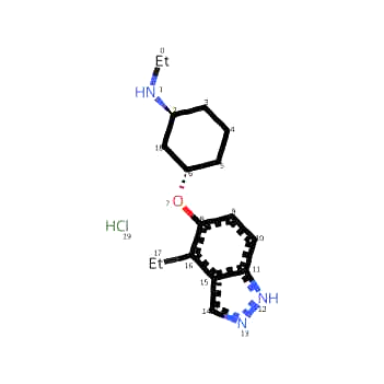 CCN[C@H]1CCC[C@H](Oc2ccc3[nH]ncc3c2CC)C1.Cl